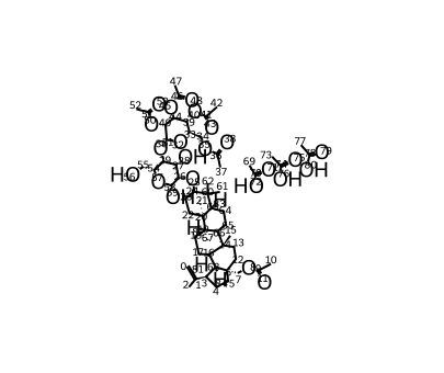 C=C(C)[C@@H]1CC[C@]2(COC(C)=O)CC[C@]3(C)[C@H](CC[C@@H]4[C@@]5(C)CCC(O[C@@H]6[C@@H](O)[C@H](O[C@H]7O[C@H](COC(C)=O)[C@@H](OC(C)=O)[C@H](OC(C)=O)[C@H]7OC(C)=O)[C@@H](CO)O[C@H]6O)C(C)(C)[C@@H]5CC[C@]43C)[C@@H]12.CC(=O)O.CC(=O)O.CC(=O)O